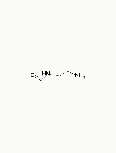 N[CH]CN[C]=O